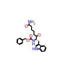 NC(=O)CCCCC(=O)[C@H](Cc1c[nH]c2ccccc12)NC(=O)OCc1ccccc1